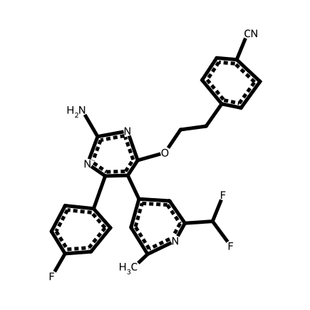 Cc1cc(-c2c(OCCc3ccc(C#N)cc3)nc(N)nc2-c2ccc(F)cc2)cc(C(F)F)n1